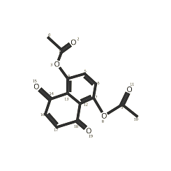 CC(=O)Oc1ccc(OC(C)=O)c2c1C(=O)C=CC2=O